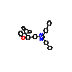 c1ccc(-c2ccc(-c3cc(-c4ccc(-c5ccccc5)cc4)nc(-c4ccc(-c5ccc6c(c5)C5(c7ccccc7O6)c6ccccc6-c6ccccc65)cc4)n3)cc2)cc1